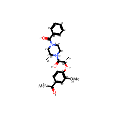 CNC(=O)c1ccc(O[C@@H](C)C(=O)N2CCN(C(=O)c3ccccc3)C[C@H]2C)c(OC)c1